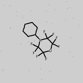 FC1(F)OC(F)(F)C(F)(F)N(C2CCCCC2)C1(F)F